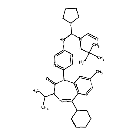 Cc1ccc2c(c1)N(c1ccc(NC(C3CCCC3)N(C=O)OC(C)(C)C)cn1)C(=O)N(C(C)C)N=C2C1CCCCC1